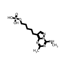 CNc1nc(C)nc2c(CCCCCOP(=O)(O)O)cnn12